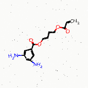 C=CC(=O)OCCCCOC(=O)c1cc(N)cc(N)c1